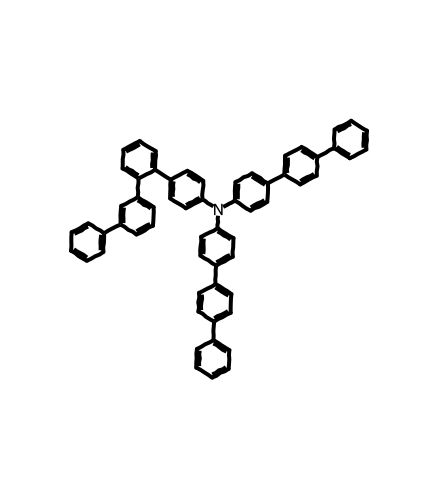 c1ccc(-c2ccc(-c3ccc(N(c4ccc(-c5ccc(-c6ccccc6)cc5)cc4)c4ccc(-c5ccccc5-c5cccc(-c6ccccc6)c5)cc4)cc3)cc2)cc1